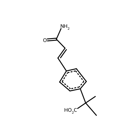 CC(C)(C(=O)O)c1ccc(C=CC(N)=O)cc1